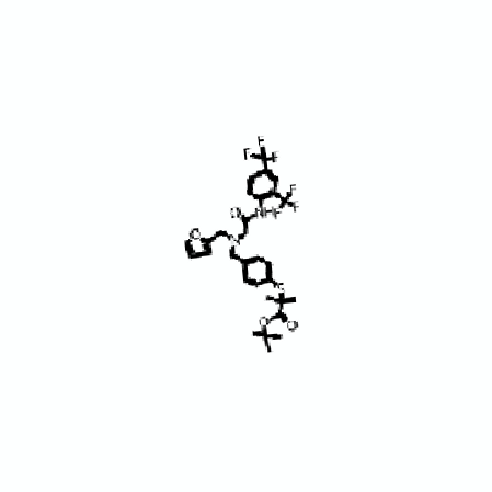 CC(C)(C)OC(=O)C(C)(C)Sc1ccc(CN(CC(=O)Nc2ccc(C(F)(F)F)cc2C(F)(F)F)Cc2ccco2)cc1